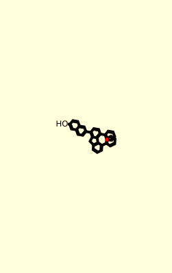 Oc1ccc2cc(-c3ccc(-c4ccccc4)c4c3Cc3cccc(-c5ccccc5)c3-4)ccc2c1